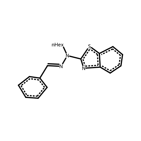 CCCCCCN(/N=C/c1ccccc1)c1nc2ccccc2s1